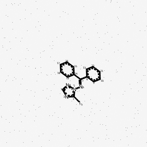 Ic1ncnn1N=C(c1ccccc1)c1ccccc1